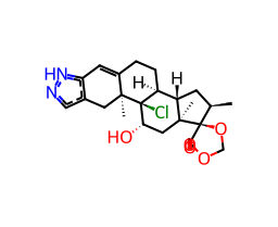 C[C@@H]1C[C@H]2[C@@H]3CCC4=Cc5[nH]ncc5C[C@]4(C)[C@@]3(Cl)[C@@H](O)C[C@]2(C)[C@]12OCOC21COCO1